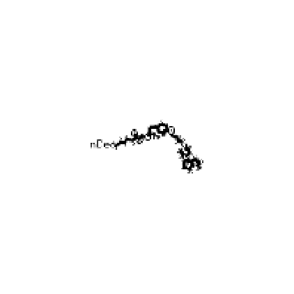 CCCCCCCCCCCCCCCC(=O)OCOc1ccc2ccc(OCCCCN3CCN(c4cccc5sccc45)CC3)cc2n1